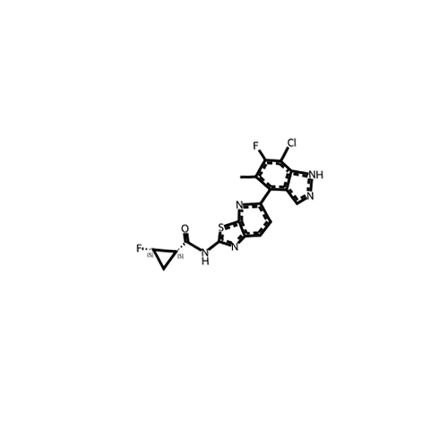 Cc1c(F)c(Cl)c2[nH]ncc2c1-c1ccc2nc(NC(=O)[C@@H]3C[C@@H]3F)sc2n1